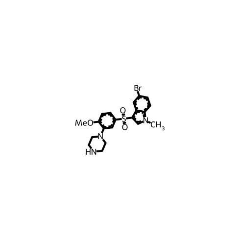 COc1ccc(S(=O)(=O)c2cn(C)c3ccc(Br)cc23)cc1N1CCNCC1